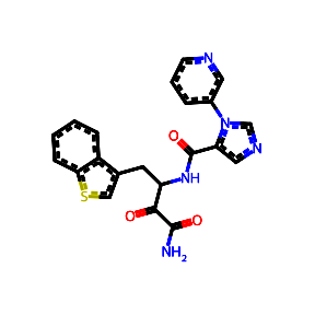 NC(=O)C(=O)C(Cc1csc2ccccc12)NC(=O)c1cncn1-c1cccnc1